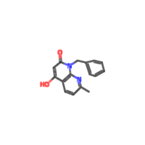 Cc1ccc2c(O)cc(=O)n(Cc3ccccc3)c2n1